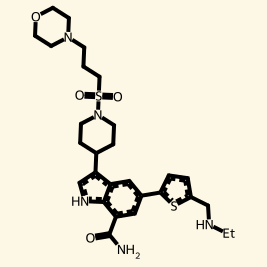 CCNCc1ccc(-c2cc(C(N)=O)c3[nH]cc(C4CCN(S(=O)(=O)CCCN5CCOCC5)CC4)c3c2)s1